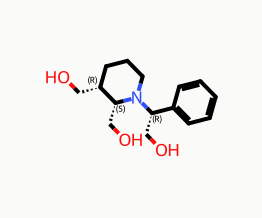 OC[C@@H]1CCCN([C@@H](CO)c2ccccc2)[C@@H]1CO